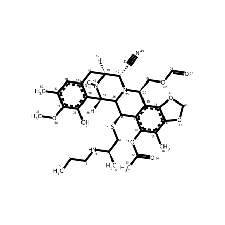 CCCN[C@H](C)CS[C@@H]1c2c(OC(C)=O)c(C)c3c(c2[C@H](COC=O)N2C1[C@@H]1c4c(cc(C)c(OC)c4O)C[C@@H]([C@@H]2C#N)N1C)OCO3